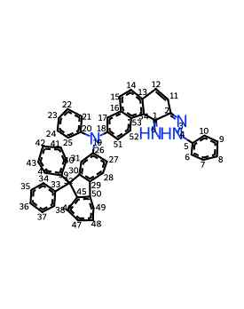 N=C1/C(=N\Nc2ccccc2)C=Cc2ccc3cc(N(c4ccccc4)c4ccc5c(c4)C(c4ccccc4)(c4ccccc4)c4ccccc4-5)ccc3c21